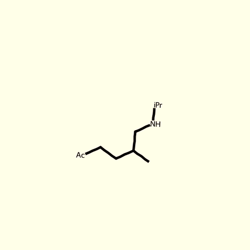 CC(=O)CCC(C)CNC(C)C